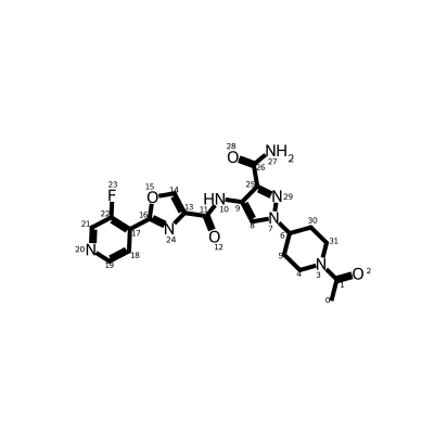 CC(=O)N1CCC(n2cc(NC(=O)c3coc(-c4ccncc4F)n3)c(C(N)=O)n2)CC1